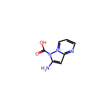 Nc1cc2nccc[n+]2n1C(=O)O